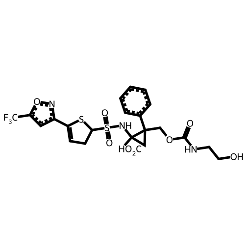 O=C(NCCO)OCC1(c2ccccc2)CC1(NS(=O)(=O)C1CC=C(c2cc(C(F)(F)F)on2)S1)C(=O)O